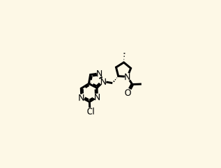 CC(=O)N1C[C@@H](C)C[C@H]1Cn1ncc2cnc(Cl)nc21